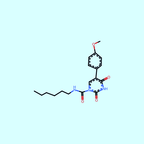 CCCCCCNC(=O)n1cc(-c2ccc(OC)cc2)c(=O)[nH]c1=O